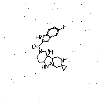 [2H]C12CN(C(=O)c3cc4cc(F)ccc4[nH]3)CCC1NN1CC3(CC3)N(C)CC12